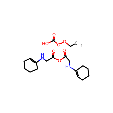 CCOOC(=O)O.O=C(CNC1=CCCCC1)OC(=O)CNC1=CCCCC1